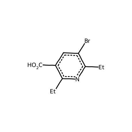 CCc1nc(CC)c(C(=O)O)cc1Br